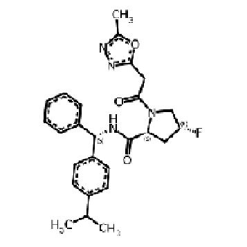 Cc1nnc(CC(=O)N2C[C@H](F)C[C@H]2C(=O)N[C@@H](c2ccccc2)c2ccc(C(C)C)cc2)o1